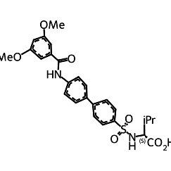 COc1cc(OC)cc(C(=O)Nc2ccc(-c3ccc(S(=O)(=O)N[C@H](C(=O)O)C(C)C)cc3)cc2)c1